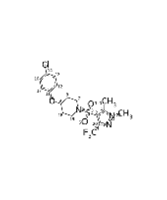 Cc1c(S(=O)(=O)N2CCC(Oc3ccc(Cl)cc3)CC2)c(C(F)(F)F)nn1C